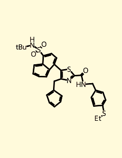 CCSc1ccc(CNC(=O)c2nc(Cc3ccccc3)c(-c3ccc(S(=O)(=O)NC(C)(C)C)c4ccccc34)s2)cc1